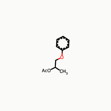 CC(=O)OC(C)COc1ccccc1